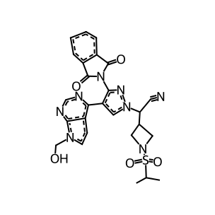 CC(C)S(=O)(=O)N1CC(C(C#N)n2cc(-c3ncnc4c3ccn4CO)c(N3C(=O)c4ccccc4C3=O)n2)C1